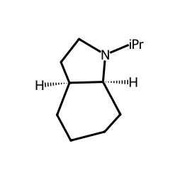 CC(C)N1CC[C@@H]2CCCC[C@@H]21